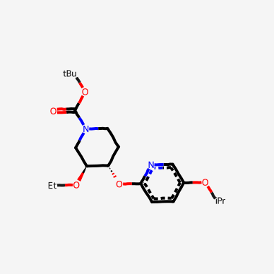 CCO[C@H]1CN(C(=O)OC(C)(C)C)CC[C@@H]1Oc1ccc(OC(C)C)cn1